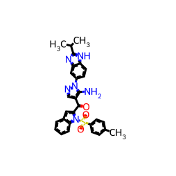 Cc1ccc(S(=O)(=O)n2c(C(=O)c3cnn(-c4ccc5[nH]c(C(C)C)nc5c4)c3N)cc3ccccc32)cc1